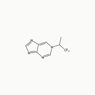 CC(n1cnc2ncnc-2c1)C(F)(F)F